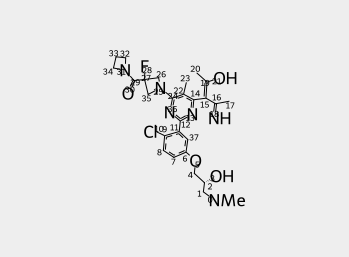 CNC[C@@H](O)COc1ccc(Cl)c(-c2nc(/C(C(C)=N)=C(\C)O)c(C)c(N3CC(F)(C(=O)N4CCC4)C3)n2)c1